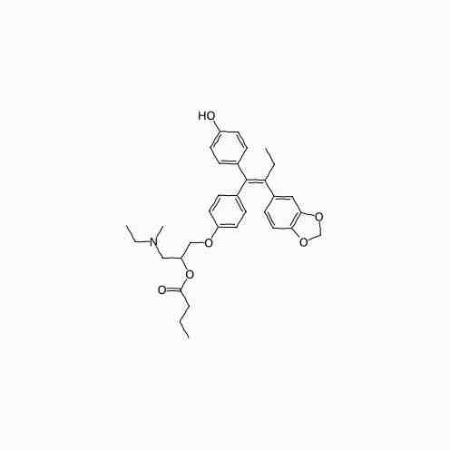 CCCC(=O)OC(COc1ccc(C(=C(CC)c2ccc3c(c2)OCO3)c2ccc(O)cc2)cc1)CN(C)CC